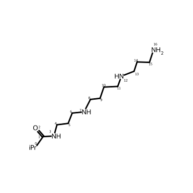 CC(C)C(=O)NCCCNCCCCNCCCN